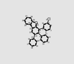 Clc1cccc(-c2c(-c3ccccc3)c(-c3ccccc3)cc3c2oc2ccccc23)c1